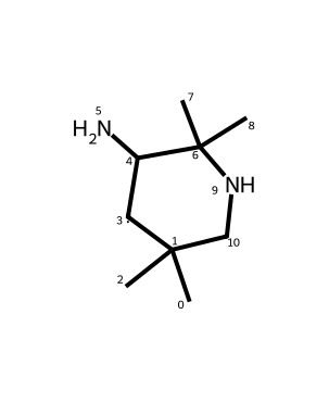 CC1(C)[CH]C(N)C(C)(C)NC1